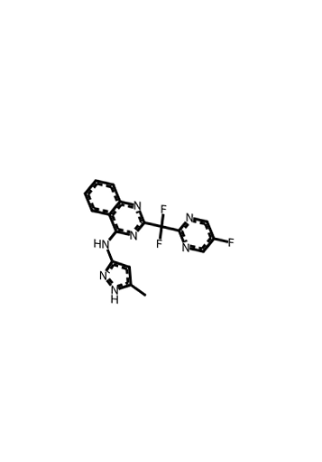 Cc1cc(Nc2nc(C(F)(F)c3ncc(F)cn3)nc3ccccc23)n[nH]1